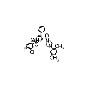 Cc1ccc(C)c(N2CCN(C(=O)[C@@H]3CN(S(=O)(=O)c4ccc(F)c(Cl)c4)C[C@H]3c3ccccc3)CC2)c1